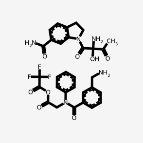 CC(=O)C(N)(O)C(=O)N1CCc2ccc(C(N)=O)cc21.NCc1cccc(C(=O)N(CC(=O)OC(=O)C(F)(F)F)c2ccccc2)c1